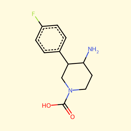 NC1CCN(C(=O)O)CC1c1ccc(F)cc1